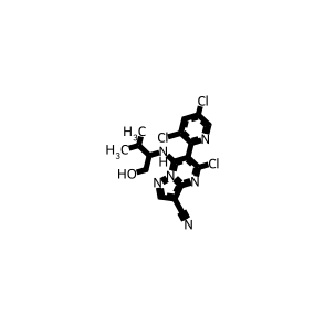 CC(C)C(CO)Nc1c(-c2ncc(Cl)cc2Cl)c(Cl)nc2c(C#N)cnn12